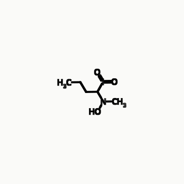 CCCC(N(C)O)I(=O)=O